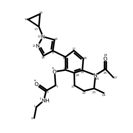 CCNC(=O)COc1c(-c2cnn(C3CC3)c2)ccc2c1CCC(C)N2C(C)=O